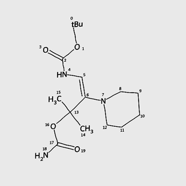 CC(C)(C)OC(=O)NC=C(N1CCCCC1)C(C)(C)OC(N)=O